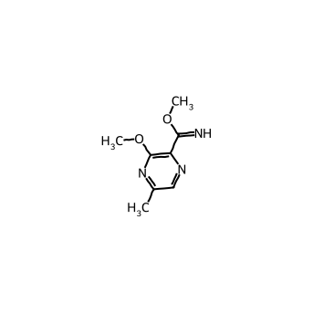 COC(=N)c1ncc(C)nc1OC